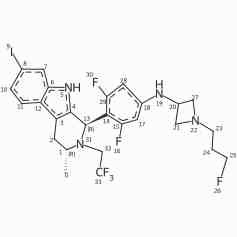 C[C@@H]1Cc2c([nH]c3cc(I)ccc23)[C@@H](c2c(F)cc(NC3CN(CCCF)C3)cc2F)N1CC(F)(F)F